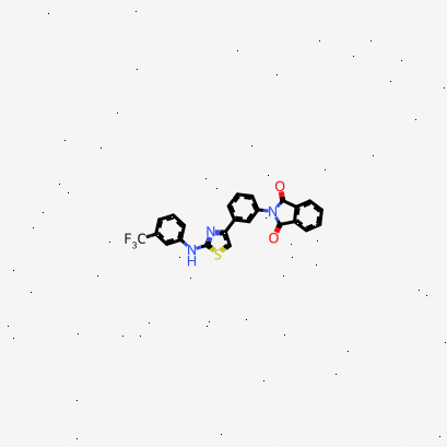 O=C1c2ccccc2C(=O)N1c1cccc(-c2csc(Nc3cccc(C(F)(F)F)c3)n2)c1